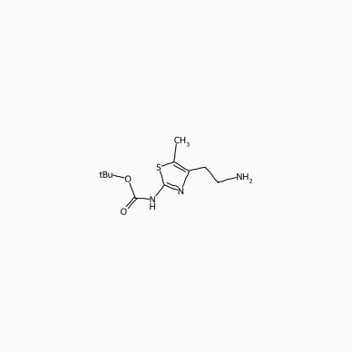 Cc1sc(NC(=O)OC(C)(C)C)nc1CCN